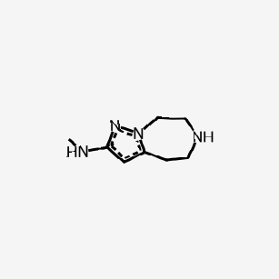 CNc1cc2n(n1)CCNCC2